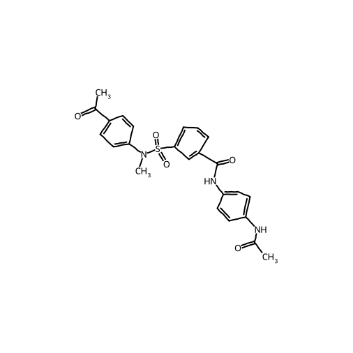 CC(=O)Nc1ccc(NC(=O)c2cccc(S(=O)(=O)N(C)c3ccc(C(C)=O)cc3)c2)cc1